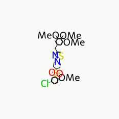 COc1ccc(Cl)cc1S(=O)(=O)C1CCN(c2nc(Cc3cc(OC)c(OC)c(OC)c3)cs2)CC1